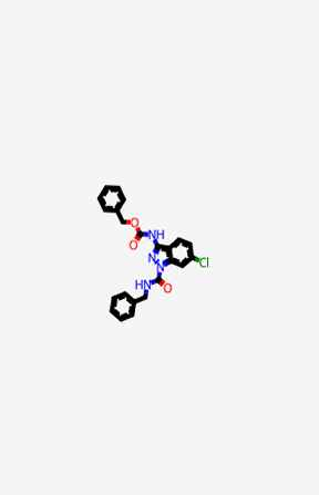 O=C(Nc1nn(C(=O)NCc2ccccc2)c2cc(Cl)ccc12)OCc1ccccc1